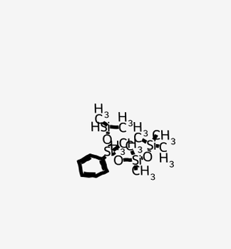 C[SiH](C)O[Si](C)(O[Si](C)(C)O[Si](C)(C)C)c1ccccc1